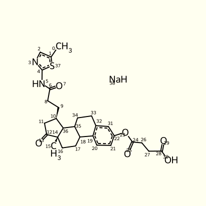 Cc1cnc(NC(=O)CC[C@@H]2CC(=O)[C@@]3(C)CCC4c5ccc(OC(=O)CCC(=O)O)cc5CCC4C23)s1.[NaH]